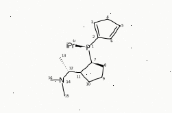 CC(C)[P@@](C1=CCC=C1)[C@H]1CCCC1[C@@H](C)N(C)C